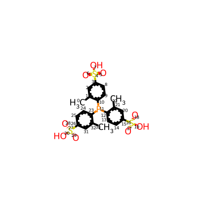 Cc1cc(S(=O)(=O)O)ccc1P(c1ccc(S(=O)(=O)O)cc1C)c1ccc(S(=O)(=O)O)cc1C